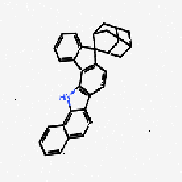 c1ccc2c(c1)-c1c(ccc3c1[nH]c1c4ccccc4ccc31)C21C2CC3CC(C2)CC1C3